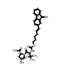 CC(C)(C)[C@H](NC(=O)OCCCC/C=C/c1ccc2c(c1)C(=N)c1ccccc1-2)C(=O)N1C[C@H](O)C[C@H]1C(=O)O